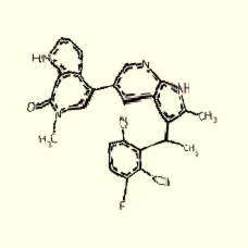 Cc1[nH]c2ncc(-c3cn(C)c(=O)c4[nH]ccc34)cc2c1C(C)c1c(Cl)ccc(F)c1Cl